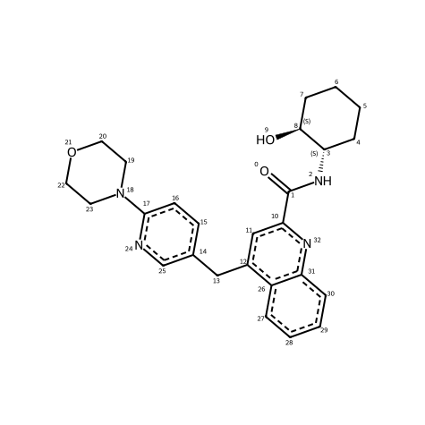 O=C(N[C@H]1CCCC[C@@H]1O)c1cc(Cc2ccc(N3CCOCC3)nc2)c2ccccc2n1